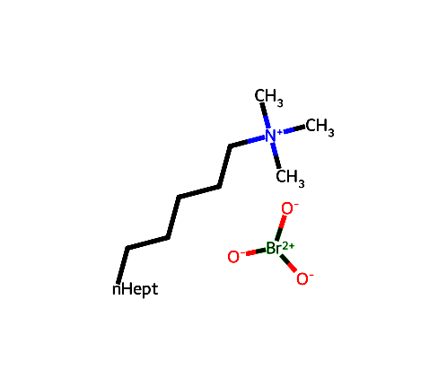 CCCCCCCCCCCC[N+](C)(C)C.[O-][Br+2]([O-])[O-]